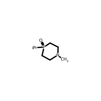 CC(C)P1(=O)CCN(C)CC1